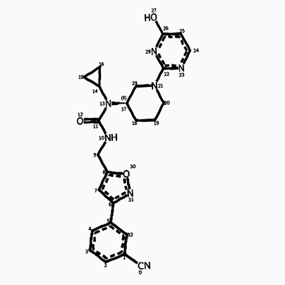 N#Cc1cccc(-c2cc(CNC(=O)N(C3CC3)[C@@H]3CCCN(c4nccc(O)n4)C3)on2)c1